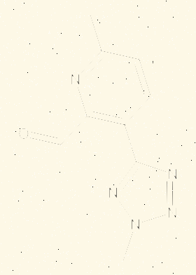 Cc1ccc(-c2nnn(C)n2)c(C=O)n1